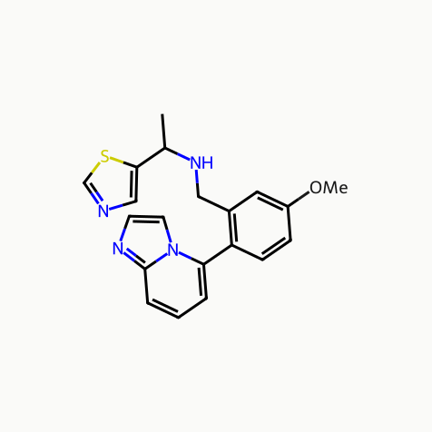 COc1ccc(-c2cccc3nccn23)c(CNC(C)c2cncs2)c1